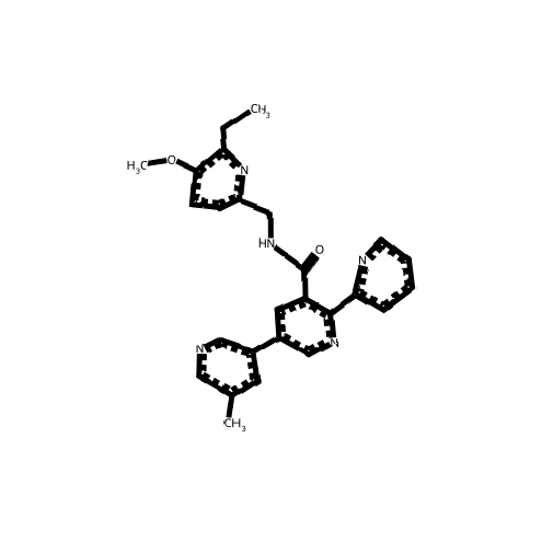 CCc1nc(CNC(=O)c2cc(-c3cncc(C)c3)cnc2-c2ccccn2)ccc1OC